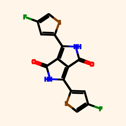 O=C1NC(c2cc(F)cs2)=C2C(=O)NC(c3cc(F)cs3)=C12